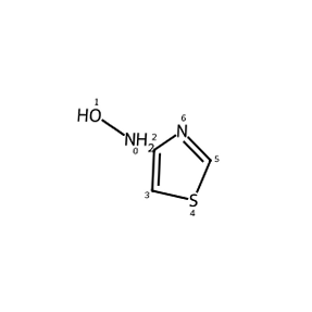 NO.c1cscn1